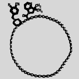 CC1(C)CN(C(=O)N2CCCCCCCCCCCCCCCCCCCCCCCCCCCCCCCCCCCCCCCCCCCCCCCC3(CCN(Cc4ccc(C#N)c(F)c4)CC3)CC2)c2cccnc21